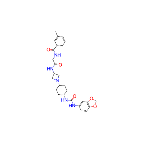 Cc1cccc(C(=O)NCC(=O)NC2CN([C@H]3CC[C@@H](NC(=O)Nc4ccc5c(c4)OCO5)CC3)C2)c1